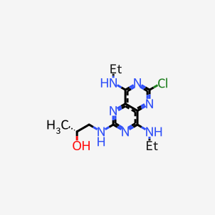 CCNc1nc(NC[C@@H](C)O)nc2c(NCC)nc(Cl)nc12